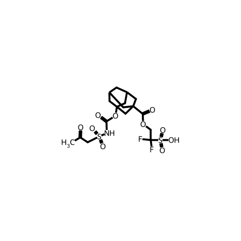 CC(=O)CS(=O)(=O)NC(=O)OC12CC3CC(C1)CC(C(=O)OCC(F)(F)S(=O)(=O)O)(C3)C2